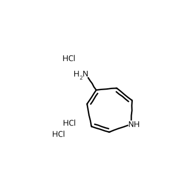 Cl.Cl.Cl.NC1=CC=CNC=C1